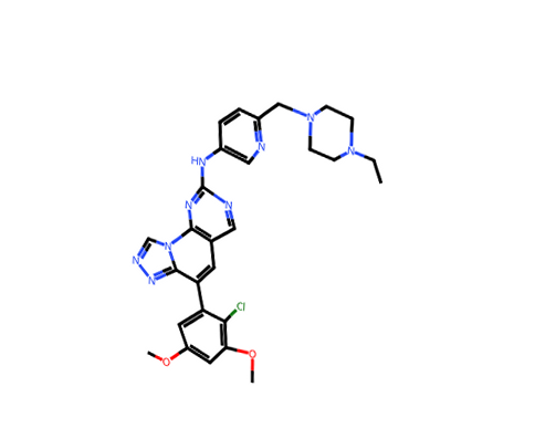 CCN1CCN(Cc2ccc(Nc3ncc4cc(-c5cc(OC)cc(OC)c5Cl)c5nncn5c4n3)cn2)CC1